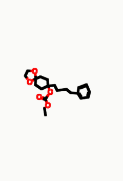 CCOC(=O)OC1(CCCCc2ccccc2)CCC2(CC1)OCCO2